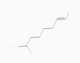 [CH2]CC=CCCCCC(C)CCCC[CH2]